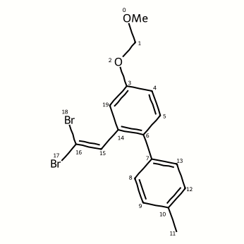 COCOc1ccc(-c2ccc(C)cc2)c(C=C(Br)Br)c1